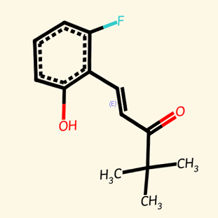 CC(C)(C)C(=O)/C=C/c1c(O)cccc1F